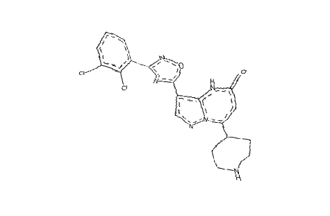 O=c1cc(C2CCNCC2)n2ncc(-c3nc(-c4cccc(Cl)c4Cl)no3)c2[nH]1